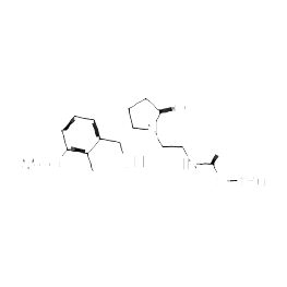 COc1cccc(C(O)[C@@H]2CCC(=O)N2CCNC(=O)OC(C)(C)C)c1C